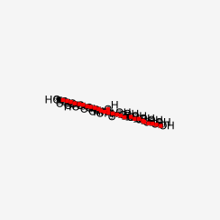 O=C(CCC(=O)NCC(O)COCC(O)COCC(O)COCC(O)COCC(O)COCC(O)CO)NCC(O)COCC(O)COCC(O)COCC(O)COCC(O)COCC(O)CO